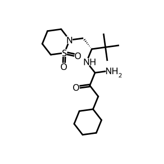 CC(C)(C)[C@@H](CN1CCCCS1(=O)=O)NC(N)C(=O)CC1CCCCC1